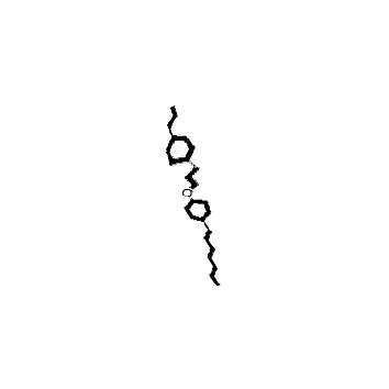 CCCCCCC[C@H]1CC[C@H](OCCC[C@H]2CC[C@H](CCC)CC2)CC1